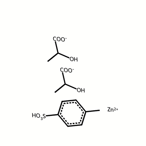 CC(O)C(=O)[O-].CC(O)C(=O)[O-].Cc1ccc(S(=O)(=O)O)cc1.[Zn+2]